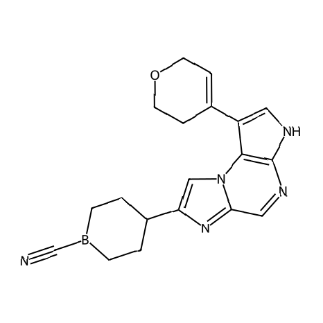 N#CB1CCC(c2cn3c(cnc4[nH]cc(C5=CCOCC5)c43)n2)CC1